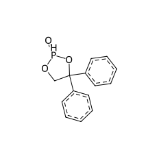 O=[PH]1OCC(c2ccccc2)(c2ccccc2)O1